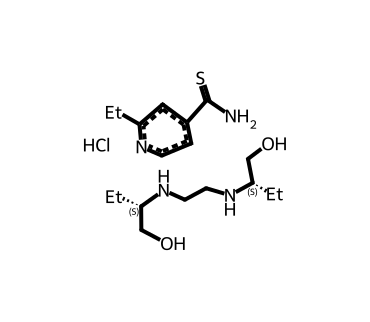 CC[C@@H](CO)NCCN[C@@H](CC)CO.CCc1cc(C(N)=S)ccn1.Cl